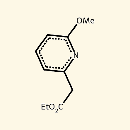 CCOC(=O)Cc1cccc(OC)n1